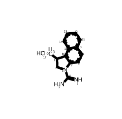 CC1CN(C(=N)N)c2ccc3ccccc3c21.Cl